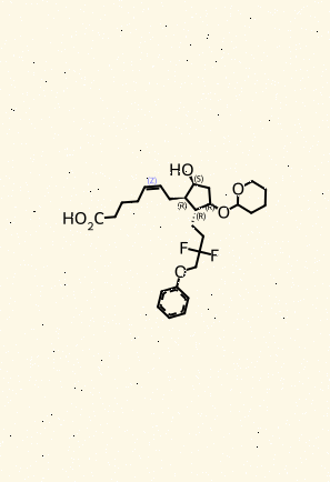 O=C(O)CCC/C=C\C[C@@H]1[C@@H](CCC(F)(F)COc2ccccc2)[C@H](OC2CCCCO2)C[C@@H]1O